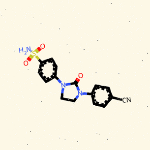 N#Cc1ccc(N2CCN(c3ccc(S(N)(=O)=O)cc3)C2=O)cc1